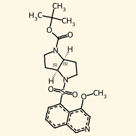 COc1cncc2cccc(S(=O)(=O)N3CC[C@H]4[C@@H]3CCN4C(=O)OC(C)(C)C)c12